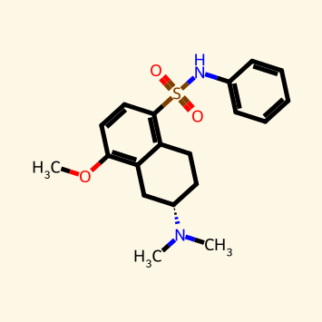 COc1ccc(S(=O)(=O)Nc2ccccc2)c2c1C[C@@H](N(C)C)CC2